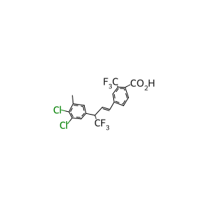 Cc1cc(C(C=Cc2ccc(C(=O)O)c(C(F)(F)F)c2)C(F)(F)F)cc(Cl)c1Cl